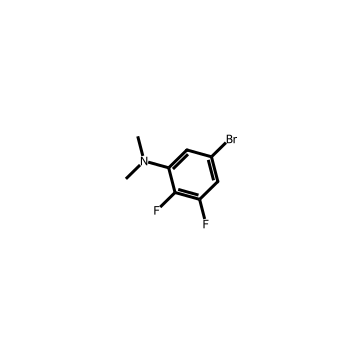 CN(C)c1cc(Br)cc(F)c1F